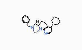 c1ccc(CN2CCN3c4nccc(C5CCCCC5)c4CC[C@@H]3C2)cc1